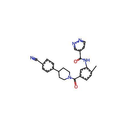 Cc1ccc(C(=O)N2CCC(c3ccc(C#N)cc3)CC2)cc1NC(=O)c1ccnnc1